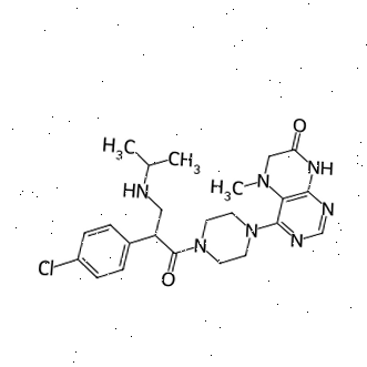 CC(C)NCC(C(=O)N1CCN(c2ncnc3c2N(C)CC(=O)N3)CC1)c1ccc(Cl)cc1